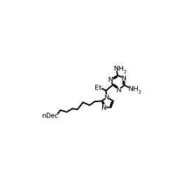 CCCCCCCCCCCCCCCCCc1nccn1C(CC)c1nc(N)nc(N)n1